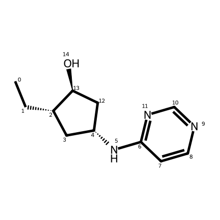 CC[C@H]1C[C@@H](Nc2ccncn2)C[C@@H]1O